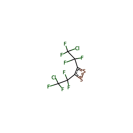 FC(F)(Cl)C(F)(F)c1ssc1C(F)(F)C(F)(F)Cl